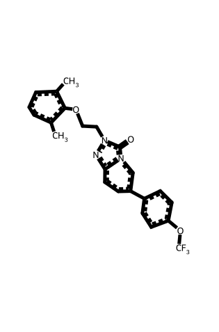 Cc1cccc(C)c1OCCn1nc2ccc(-c3ccc(OC(F)(F)F)cc3)cn2c1=O